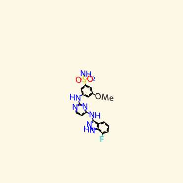 COc1cc(Nc2nccc(Nc3n[nH]c4c(F)cccc34)n2)cc(S(N)(=O)=O)c1